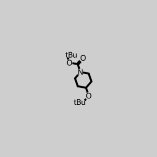 CC(C)(C)OC(=O)N1CCC(OC(C)(C)C)CC1